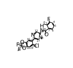 Cc1c(F)cccc1C(=O)Nc1cnc(-c2cc3c(cc2Cl)OC(F)(F)O3)cn1